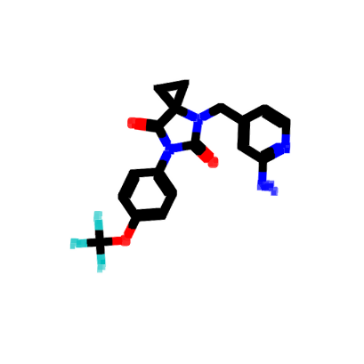 Nc1cc(CN2C(=O)N(c3ccc(OC(F)(F)F)cc3)C(=O)C23CC3)ccn1